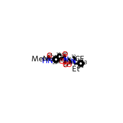 CCc1ccccc1CN(C(=O)CN1C(=O)O[C@]2(CCc3cc(NC(=O)NC)ccc32)C1=O)[C@H](C)C(F)(F)F